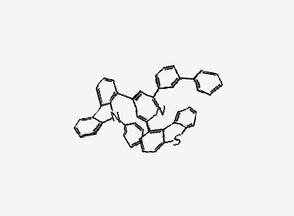 c1ccc(-c2cccc(-c3cc(-c4cccc5c6ccccc6n(-c6ccccc6)c45)cc(-c4cccc5sc6ccccc6c45)n3)c2)cc1